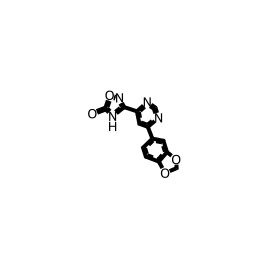 O=c1[nH]c(-c2cc(-c3ccc4c(c3)OCO4)ncn2)no1